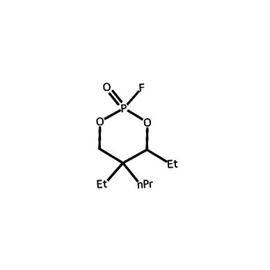 CCCC1(CC)COP(=O)(F)OC1CC